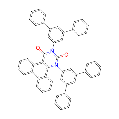 O=c1c2c3ccccc3c3ccccc3c2n(-c2cc(-c3ccccc3)cc(-c3ccccc3)c2)c(=O)n1-c1cc(-c2ccccc2)cc(-c2ccccc2)c1